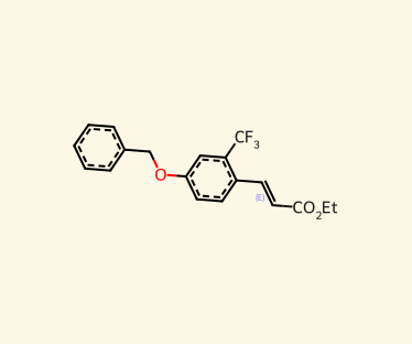 CCOC(=O)/C=C/c1ccc(OCc2ccccc2)cc1C(F)(F)F